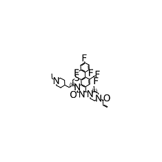 C=CC(=O)N1CCN(c2nc(=O)n3c4c(c(-c5ccc(F)cc5F)c(C(F)(F)F)cc24)SC[C@@H]3CC2CCN(CC)CC2)[C@@H](C)C1